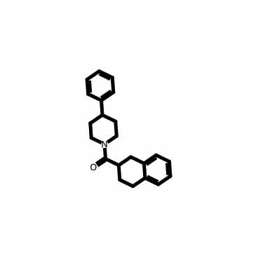 O=C(C1CCc2ccccc2C1)N1CCC(c2ccccc2)CC1